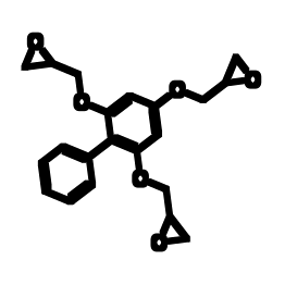 c1ccc(-c2c(OCC3CO3)cc(OCC3CO3)cc2OCC2CO2)cc1